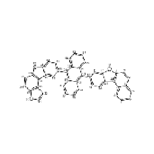 c1ccc2c(c1)ccc1oc3cc(-c4c5ccccc5c(-c5ccc6sc7ccc8occc8c7c6c5)c5ccccc45)ccc3c12